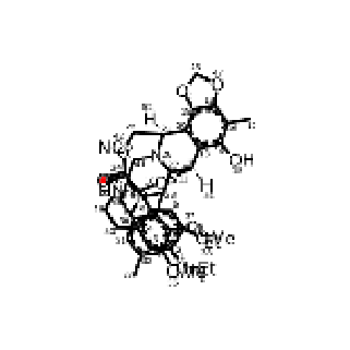 CCOc1cc2c(cc1OC)[C@@]1(CS[C@@H]3c4c(O)c(C)c5c(c4[C@H](COC1=O)N1C3C3c4c(cc(C)c(OC)c4OCC)C[C@@H]([C@@H]1C#N)N3C)OCO5)NCC2